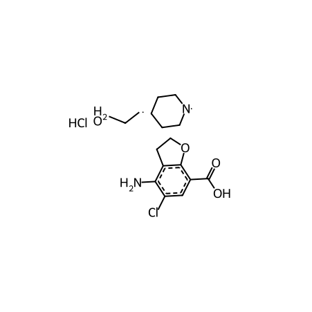 C1CC[N]CC1.Cl.Nc1c(Cl)cc(C(=O)O)c2c1CCO2.O.[CH2]CC